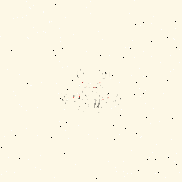 N#Cc1c(-n2c3ccccc3c3ccccc32)c(-n2c3ccc(-c4cncnc4)cc3c3cc(-c4cncnc4)ccc32)c(-n2c3ccccc3c3ccccc32)c(-n2c3ccc(-c4cncnc4)cc3c3cc(-c4cncnc4)ccc32)c1-n1c2ccccc2c2ccccc21